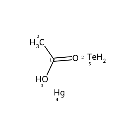 CC(=O)O.[Hg].[TeH2]